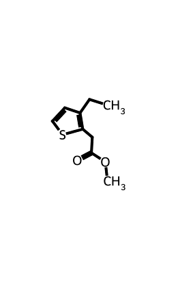 CCc1ccsc1CC(=O)OC